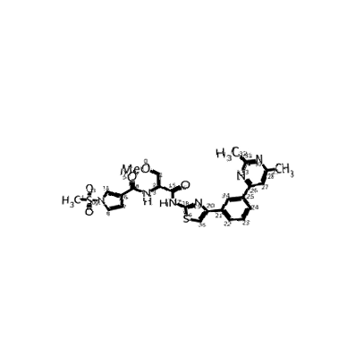 COCC(NC(=O)c1ccn(S(C)(=O)=O)c1)C(=O)Nc1nc(-c2cccc(-c3cc(C)nc(C)n3)c2)cs1